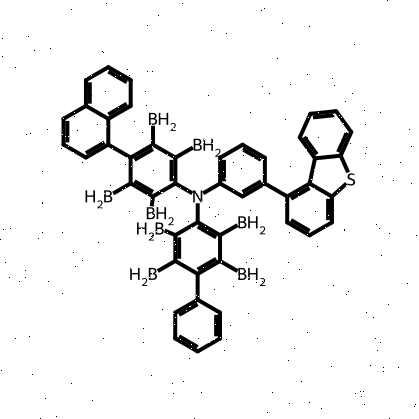 Bc1c(B)c(N(c2cccc(-c3cccc4sc5ccccc5c34)c2)c2c(B)c(B)c(-c3cccc4ccccc34)c(B)c2B)c(B)c(B)c1-c1ccccc1